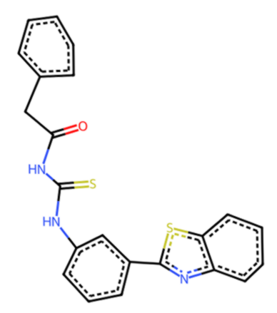 O=C(Cc1ccccc1)NC(=S)Nc1cccc(-c2nc3ccccc3s2)c1